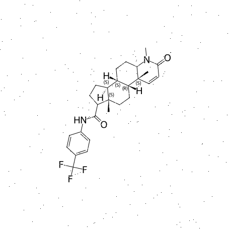 CN1C(=O)C=C[C@@]2(C)C1CC[C@@H]1[C@H]2CC[C@]2(C)C(C(=O)Nc3ccc(C(F)(F)F)cc3)CC[C@@H]12